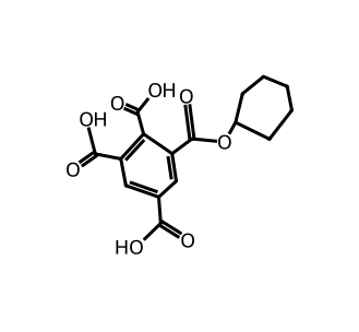 O=C(O)c1cc(C(=O)O)c(C(=O)O)c(C(=O)OC2CCCCC2)c1